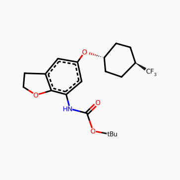 CC(C)(C)OC(=O)Nc1cc(O[C@H]2CC[C@H](C(F)(F)F)CC2)cc2c1OCC2